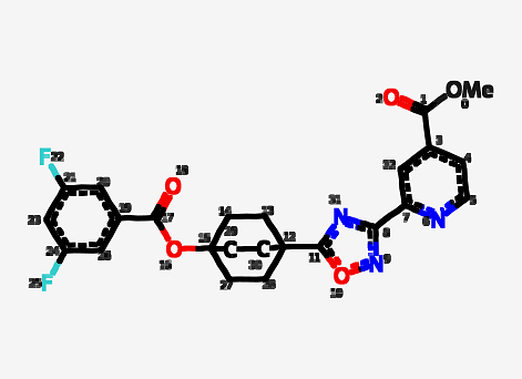 COC(=O)c1ccnc(-c2noc(C34CCC(OC(=O)c5cc(F)cc(F)c5)(CC3)CC4)n2)c1